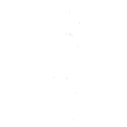 O=Cc1cccc(/C=C/c2cc(C(F)(F)F)cc(C(F)(F)F)c2)n1